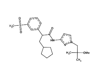 COC(C)(C)Cn1ccc(NC(=O)C(CC2CCCC2)c2cccc(S(C)(=O)=O)c2)n1